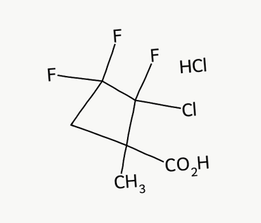 CC1(C(=O)O)CC(F)(F)C1(F)Cl.Cl